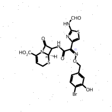 O=CNc1nc(/C(=N/OCc2ccc(Br)c(O)c2)C(=O)NC2C(=O)N3C(C(=O)O)=CCS[C@H]23)cs1